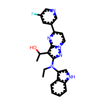 CCN(c1nn2ccc(-c3cncc(F)c3)nc2c1C(C)O)c1c[nH]c2ccccc12